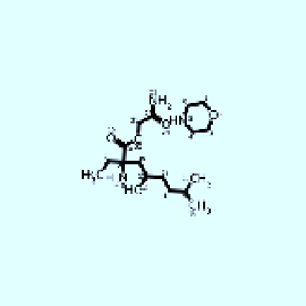 C1COCCN1.CCC(N)(CC(O)CCC(C)C)C(=O)OCC(N)=O